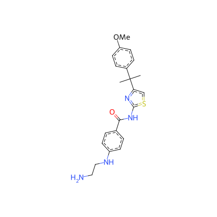 COc1ccc(C(C)(C)c2csc(NC(=O)c3ccc(NCCN)cc3)n2)cc1